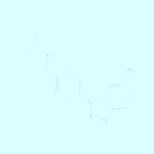 COc1ccc2nnn(-c3ccc(CN[SH](=O)=O)cc3)c2c1